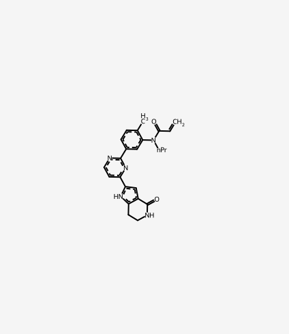 C=CC(=O)N(CCC)c1cc(-c2nccc(-c3cc4c([nH]3)CCNC4=O)n2)ccc1C